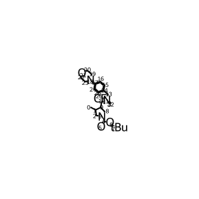 CC1CN(C(=O)OC(C)(C)C)CC1CN(C)Cc1ccc(N2CCOCC2)cc1C(F)(F)F